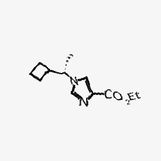 CCOC(=O)c1cn([C@@H](C)C2CCC2)cn1